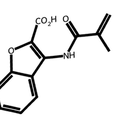 C=C(C)C(=O)Nc1c(C(=O)O)oc2ccccc12